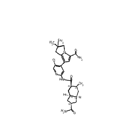 C[C@H]1C[C@H]2C[C@@H](C(N)=O)C[C@H]2C[C@H]1C(=O)Nc1cc(-c2cc(C(N)=O)n3c2CC(C)(C)C3)c(Cl)cn1